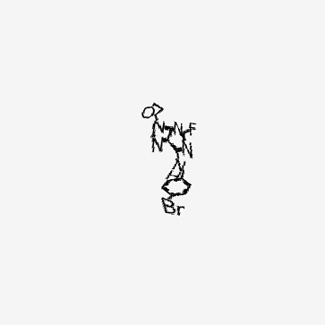 Fc1nc(NCc2ccc(Br)cc2)c2ncn(C3CCO3)c2n1